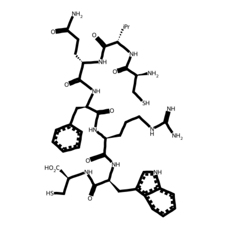 CC(C)[C@H](NC(=O)[C@@H](N)CS)C(=O)N[C@@H](CCC(N)=O)C(=O)N[C@H](Cc1ccccc1)C(=O)N[C@@H](CCCNC(=N)N)C(=O)N[C@@H](Cc1c[nH]c2ccccc12)C(=O)N[C@@H](CS)C(=O)O